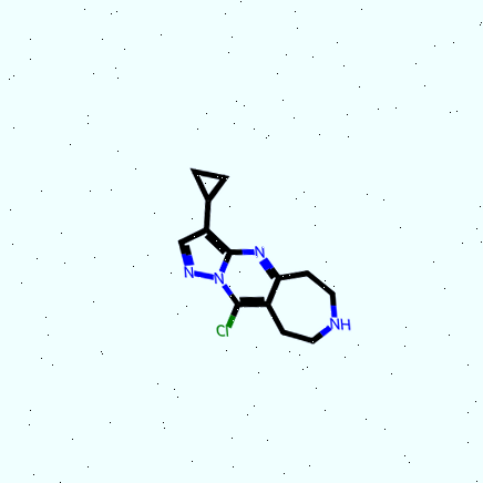 Clc1c2c(nc3c(C4CC4)cnn13)CCNCC2